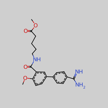 COC(=O)CCCCNC(=O)c1cc(-c2ccc(C(=N)N)cc2)ccc1OC